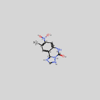 Cc1cc2c(cc1[N+](=O)[O-])[nH]c(=O)n1ncnc21